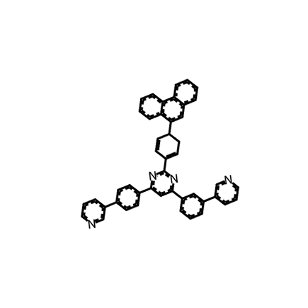 C1=CC(c2cc3ccccc3c3ccccc23)CC=C1c1nc(-c2ccc(-c3cccnc3)cc2)cc(-c2cccc(-c3cccnc3)c2)n1